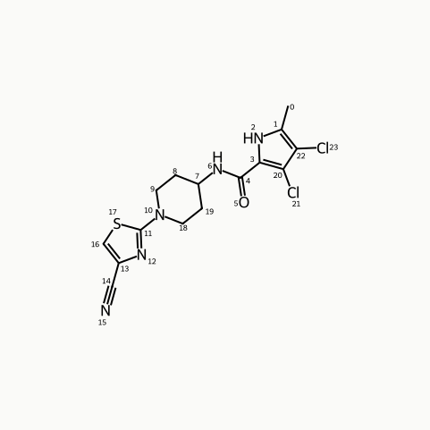 Cc1[nH]c(C(=O)NC2CCN(c3nc(C#N)cs3)CC2)c(Cl)c1Cl